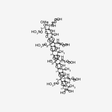 CO[C@H]1OC(COS(=O)(=O)O)[C@@H](O[C@H]2C[C@H](O)[C@@H](O[C@@H]3OC(COS(=O)(=O)O)[C@@H](O[C@H]4C[C@H](O)[C@@H](O[C@@H]5OC(CO)[C@@H](O[C@H]6C[C@H](O)[C@@H](O[C@@H]7OC(COS(=O)(=O)O)[C@@H](O[C@H]8C[C@H](O)[C@H](O)C(C)O8)[C@H](O)C7NSOOO)C(C)O6)[C@H](O)C5NSOOO)C(C)O4)[C@H](O)C3NSOOO)C(C)O2)[C@H](O)C1NSOOO